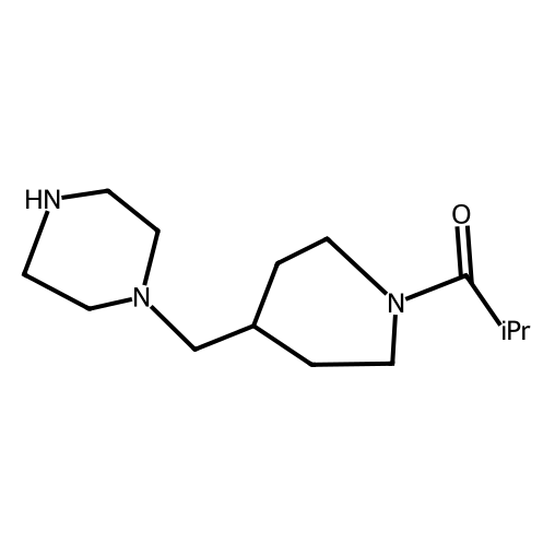 CC(C)C(=O)N1CCC(CN2CCNCC2)CC1